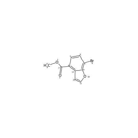 COC(=O)c1ccc(Br)c2occc12